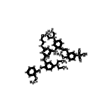 CCN(CC)c1ccc(/N=N/c2ccccc2OC)c(Nc2nc(Nc3cc(N(CC)CC)ccc3/N=N/c3cc(S(=O)(=O)O)ccc3OC)nc(SCCO)n2)c1